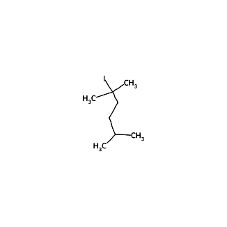 CC(C)CCC(C)(C)I